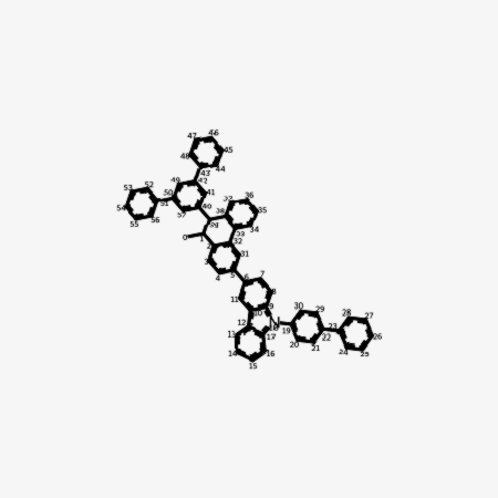 CC1c2ccc(-c3ccc4c(c3)c3ccccc3n4-c3ccc(-c4ccccc4)cc3)cc2-c2ccccc2C1c1cc(-c2ccccc2)cc(-c2ccccc2)c1